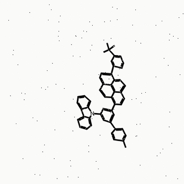 Cc1ccc(-c2cc(-c3ccc4ccc5c(-c6cccc(C(C)(C)C)c6)ccc6ccc3c4c65)cc(-n3c4ccccc4c4ccccc43)c2)cc1